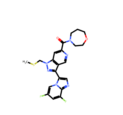 CSCn1nc(-c2cnc3c(F)cc(F)cn23)c2cnc(C(=O)N3CCCOCC3)cc21